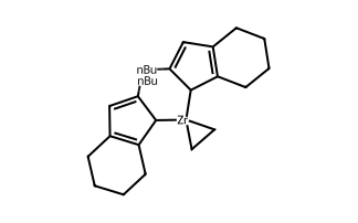 CCCCC1=CC2=C(CCCC2)[CH]1[Zr]1([CH]2C(CCCC)=CC3=C2CCCC3)[CH2][CH2]1